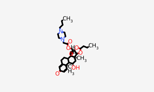 CCCCN1CCN(CC(=O)OCC(=O)[C@@]23OC(CCC)O[C@@H]2CC2C4CCC5=CC(=O)C=C[C@]5(C)C4[C@@H](O)C[C@@]23C)CC1